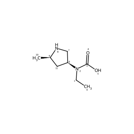 CCN(C(=O)O)[C@@H]1CN[C@H](C)C1